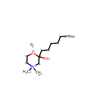 CCCCCCCCCCCCCCC1(O)C[N+](C)(C)CCO1.[Br-]